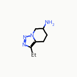 CCc1nnn2c1CCC(N)C2